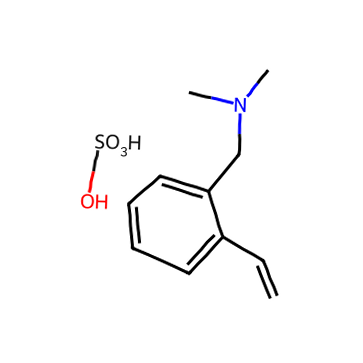 C=Cc1ccccc1CN(C)C.O=S(=O)(O)O